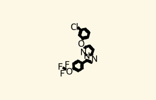 FC(F)(F)Oc1ccc(-c2cnc3ccc(Oc4cccc(Cl)c4)nn23)cc1